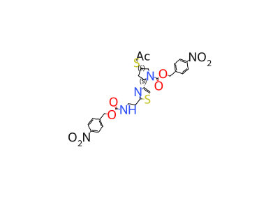 CC(=O)S[C@H]1C[C@@H](c2csc(CCNC(=O)OCc3ccc([N+](=O)[O-])cc3)n2)N(C(=O)OCc2ccc([N+](=O)[O-])cc2)C1